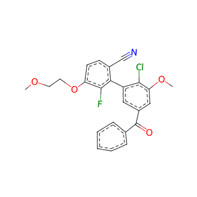 COCCOc1ccc(C#N)c(-c2cc(C(=O)c3ccccc3)cc(OC)c2Cl)c1F